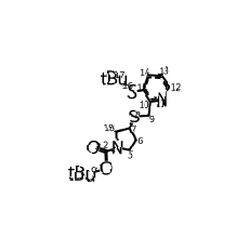 CC(C)(C)OC(=O)N1CCC(SCc2ncccc2SC(C)(C)C)C1